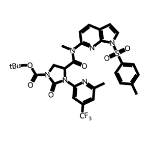 Cc1ccc(S(=O)(=O)n2ccc3ccc(N(C)C(=O)C4CN(C(=O)OC(C)(C)C)C(=O)N4c4cc(C(F)(F)F)cc(C)n4)nc32)cc1